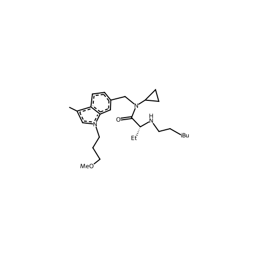 CCC(C)CCN[C@H](CC)C(=O)N(Cc1ccc2c(C)cn(CCCOC)c2c1)C1CC1